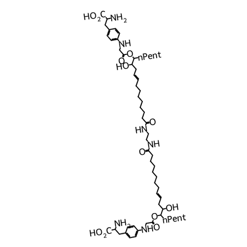 CCCCCC(OC(=O)CNc1ccc(CC(N)C(=O)O)cc1)C(O)CC=CCCCCCCCC(=O)NCCNC(=O)CCCCCCCC=CCC(O)C(CCCCC)OC(=O)CNc1ccc(CC(N)C(=O)O)cc1